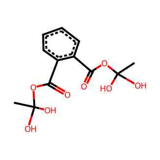 CC(O)(O)OC(=O)c1ccccc1C(=O)OC(C)(O)O